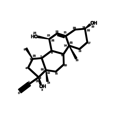 C#C[C@]1(O)C[C@@H](C)C2C3C(CC[C@@]21C)[C@@]1(C)CC[C@H](O)CC1=C[C@@H]3O